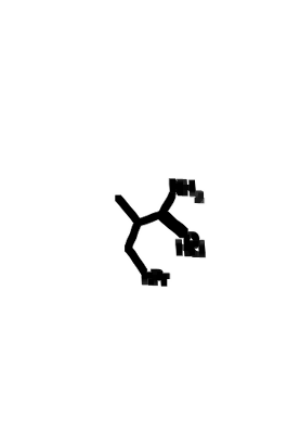 CCCCC(C)C(N)=O.Cl